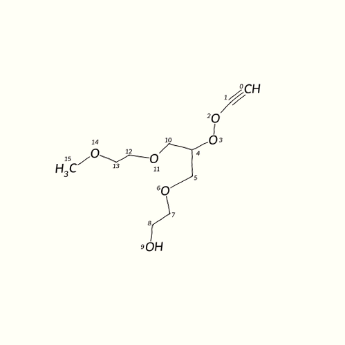 C#COOC(COCCO)COCCOC